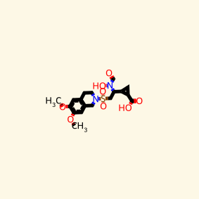 COc1cc2c(cc1OC)CN(S(=O)(=O)CC(C1CC1C(=O)O)N(O)C=O)CC2